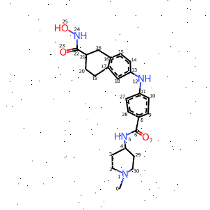 CN1CCC(NC(=O)c2ccc(Nc3ccc4c(c3)CCC(C(=O)NO)C4)cc2)CC1